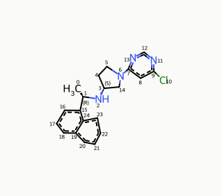 C[C@@H](N[C@H]1CCN(c2cc(Cl)ncn2)C1)c1cccc2ccccc12